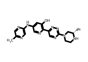 Cc1cnc(Nc2cnc(-c3cnc(N4CCN[C@@H](C(C)C)C4)nn3)c(O)c2)cn1